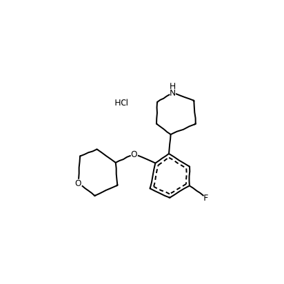 Cl.Fc1ccc(OC2CCOCC2)c(C2CCNCC2)c1